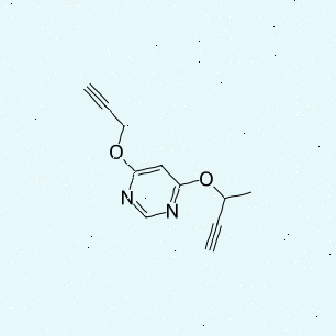 C#CCOc1cc(OC(C)C#C)ncn1